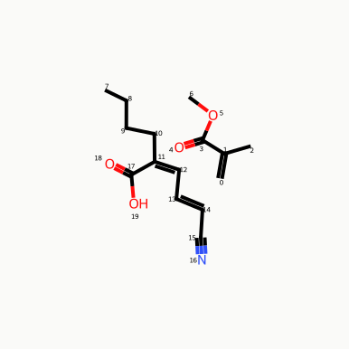 C=C(C)C(=O)OC.CCCCC(=CC=CC#N)C(=O)O